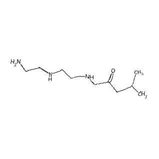 CC(C)CC(=O)CNCCNCCN